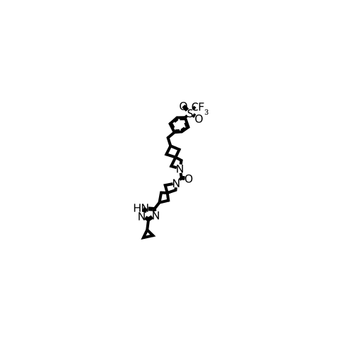 O=C(N1CC2(CC(Cc3ccc(S(=O)(=O)C(F)(F)F)cc3)C2)C1)N1CC2(CC(c3nc(C4CC4)n[nH]3)C2)C1